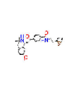 COc1ccc2c(c1)C(=CC(=O)c1ccc(C(=O)NCCc3cccs3)cc1)NC(C)(C)C2